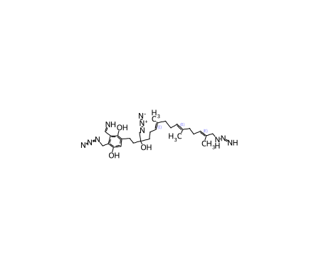 C/C(=C\CC/C(C)=C/CCC(O)(CCc1cc(O)c(CN=[N+]=[N-])c(C=N)c1O)CN=[N+]=[N-])CC/C=C(\C)CNN=N